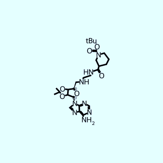 CC(C)(C)OC(=O)N1CCCC(C(=O)NCCNC[C@H]2O[C@@H](n3cnc4c(N)ncnc43)C3OC(C)(C)OC32)C1